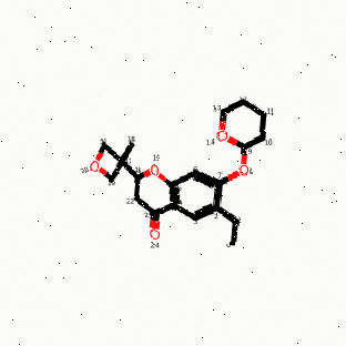 CCc1cc2c(cc1OC1CCCCO1)OC(C1(C)COC1)CC2=O